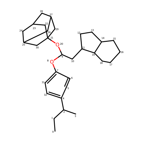 CCC(C)c1ccc(OC(CC2CCC3CCCCC32)OC23CC4CC(CC(C4)C2)C3)cc1